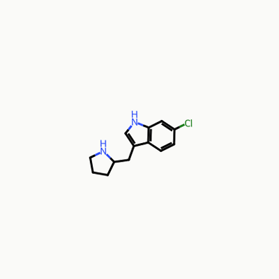 Clc1ccc2c(CC3CCCN3)c[nH]c2c1